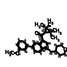 COc1cccc(-c2ccc3c(c2)c(C(=O)C2C(C)(C)C2(C)C)cn3CC2CCOCC2)c1